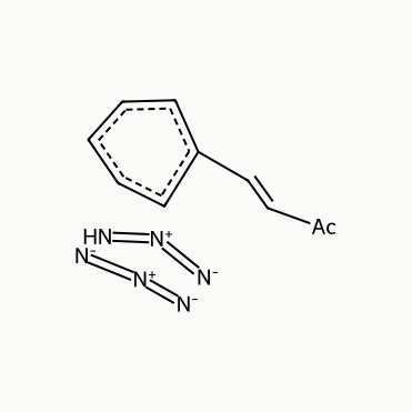 CC(=O)C=Cc1ccccc1.[N-]=[N+]=N.[N-]=[N+]=[N-]